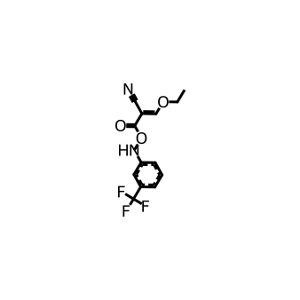 CCOC=C(C#N)C(=O)ONc1cccc(C(F)(F)F)c1